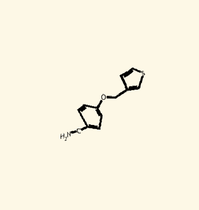 NCc1ccc(OCc2ccsc2)cc1